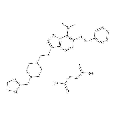 CN(C)c1c(OCc2ccccc2)ccc2c(CCC3CCN(CC4OCCO4)CC3)noc12.O=C(O)/C=C/C(=O)O